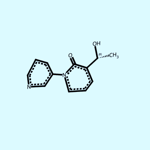 C[C@@H](O)c1cccn(-c2cccnc2)c1=O